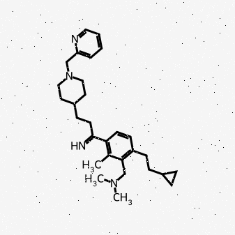 Cc1c(C(=N)CCC2CCN(Cc3ccccn3)CC2)ccc(CCC2CC2)c1CN(C)C